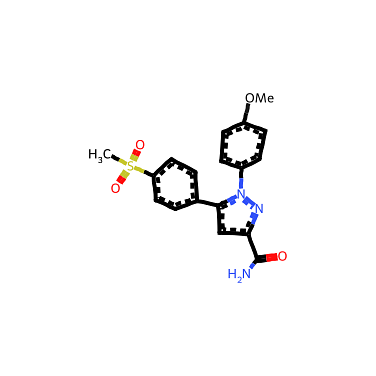 COc1ccc(-n2nc(C(N)=O)cc2-c2ccc(S(C)(=O)=O)cc2)cc1